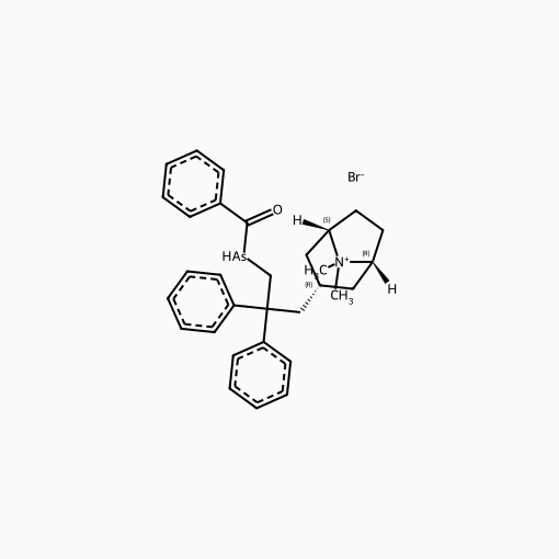 C[N+]1(C)[C@@H]2CC[C@H]1C[C@@H](CC(C[AsH]C(=O)c1ccccc1)(c1ccccc1)c1ccccc1)C2.[Br-]